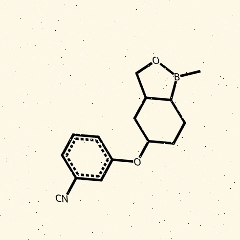 [C-]#[N+]c1cccc(OC2CCC3B(C)OCC3C2)c1